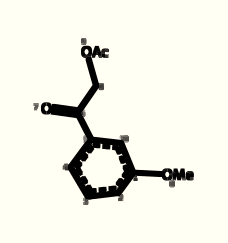 COc1cccc(C(=O)COC(C)=O)c1